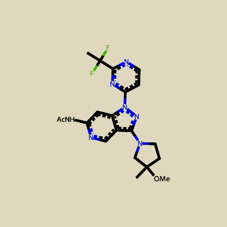 COC1(C)CCN(c2nn(-c3ccnc(C(C)(F)F)n3)c3cc(NC(C)=O)ncc23)C1